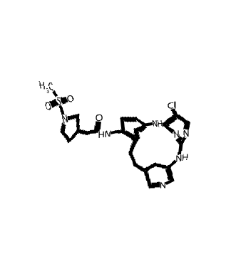 CS(=O)(=O)N1CCC(CC(=O)Nc2ccc3cc2CCC2C=NC=C(C2)Nc2ncc(Cl)c(n2)N3)C1